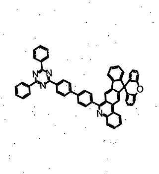 c1ccc(-c2nc(-c3ccccc3)nc(-c3ccc(-c4ccc(-c5nc6ccccc6c6cc7c(cc56)-c5ccccc5C75c6ccccc6Oc6ccccc65)cc4)cc3)n2)cc1